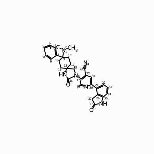 CN(C)C1(c2ccccc2)CCC2(CC1)CN(c1cnc(-c3cccc4c3CC(=O)N4)cc1C#N)C(=O)N2